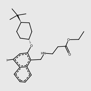 CCOC(=O)CCNCc1c(O[C@H]2CC[C@H](C(C)(C)C)CC2)cc(I)c2ccccc12